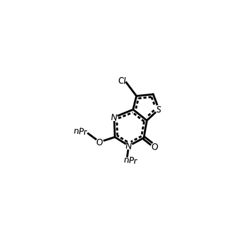 CCCOc1nc2c(Cl)csc2c(=O)n1CCC